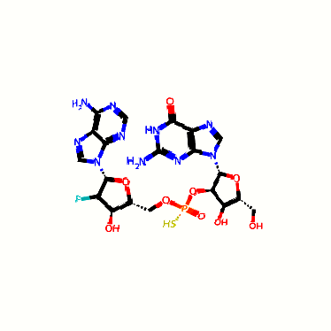 Nc1nc2c(ncn2[C@@H]2O[C@H](CO)C(O)[C@H]2O[P@](=O)(S)OC[C@H]2O[C@@H](n3cnc4c(N)ncnc43)C(F)[C@@H]2O)c(=O)[nH]1